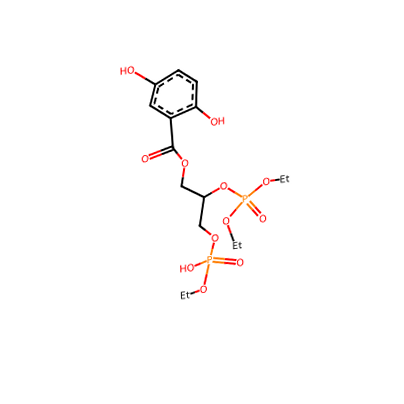 CCOP(=O)(O)OCC(COC(=O)c1cc(O)ccc1O)OP(=O)(OCC)OCC